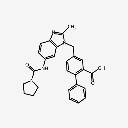 Cc1nc2ccc(NC(=O)N3CCCC3)cc2n1Cc1ccc(-c2ccccc2)c(C(=O)O)c1